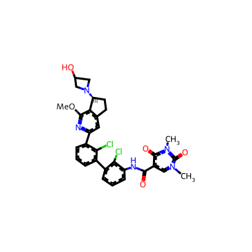 COc1nc(-c2cccc(-c3cccc(NC(=O)c4cn(C)c(=O)n(C)c4=O)c3Cl)c2Cl)cc2c1[C@@H](N1CC(O)C1)CC2